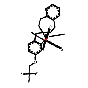 CN1C(=O)C2(NC1=S)c1cc(OCC(F)(F)F)ccc1CC21CCc2ccccc2CC1